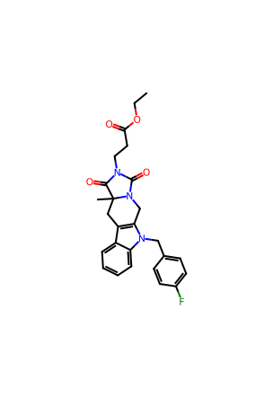 CCOC(=O)CCN1C(=O)N2Cc3c(c4ccccc4n3Cc3ccc(F)cc3)CC2(C)C1=O